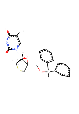 Cc1cn([C@@H]2O[C@@]3(CO[Si](c4ccccc4)(c4ccccc4)C(C)(C)C)CS[C@@H]2[C@@H]3O)c(=O)[nH]c1=O